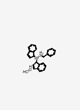 C1=C[CH]([Hf]([SiH2]Cc2ccccc2)[CH]2C=Cc3ccccc32)c2ccccc21.Cl.Cl